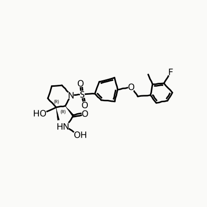 Cc1c(F)cccc1COc1ccc(S(=O)(=O)N2CCC[C@@](C)(O)[C@@H]2C(=O)NO)cc1